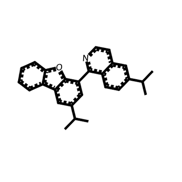 CC(C)c1ccc2c(-c3cc(C(C)C)cc4c3oc3ccccc34)nccc2c1